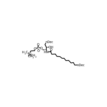 CCCCCCCCCCCCCCCCCCCCCC(=O)N[C@@H](COP(=O)([O-])OCC[N+](C)(C)C)[C@H](O)CCCCCCCCCCC